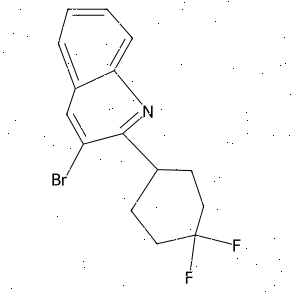 FC1(F)CCC(c2nc3ccccc3cc2Br)CC1